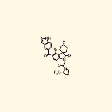 O=C(c1ccc2[nH]ncc2n1)c1ccc2c(c1Br)C1(CCNCC1)C(=O)N2CC(=O)N1CCC[C@@H]1C(F)(F)F